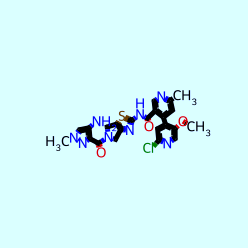 COc1cnc(Cl)cc1-c1cc(C)ncc1C(=O)Nc1nc2c(s1)CN(C(=O)c1nn(C)cc1N)C2